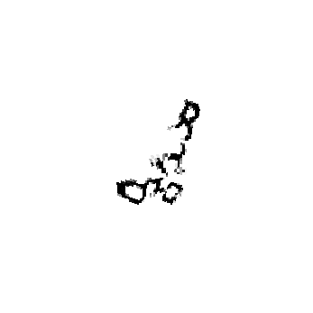 N#CC(COCc1ccccc1Cl)NC(=O)OC(CC1CCCCC1)C(=O)N1CCOCC1